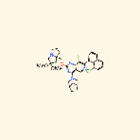 COC1(OC)CN2CCCC2(COc2nc(N3CC4CCC(C4)C3)c3cnc(-c4cccc5cccc(Cl)c45)c(F)c3n2)C1